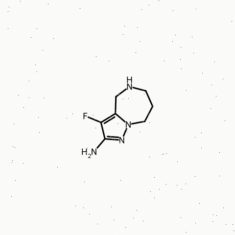 Nc1nn2c(c1F)CNCCC2